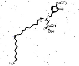 CCCCCCCC/C=C\CCCCCCCCOC[C@H](COP(=O)(O)O)OCc1ccc(OC)c(F)c1